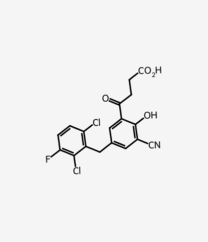 N#Cc1cc(Cc2c(Cl)ccc(F)c2Cl)cc(C(=O)CCC(=O)O)c1O